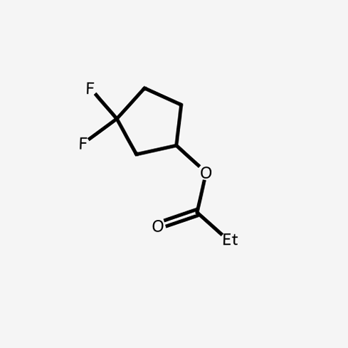 CCC(=O)OC1CCC(F)(F)C1